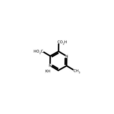 Cc1cnc(C(=O)O)c(C(=O)O)n1.[KH]